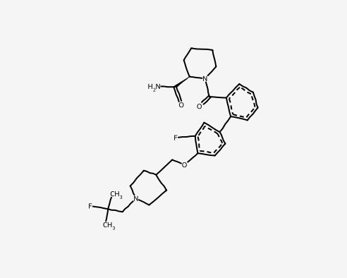 CC(C)(F)CN1CCC(COc2ccc(-c3ccccc3C(=O)N3CCCC[C@@H]3C(N)=O)cc2F)CC1